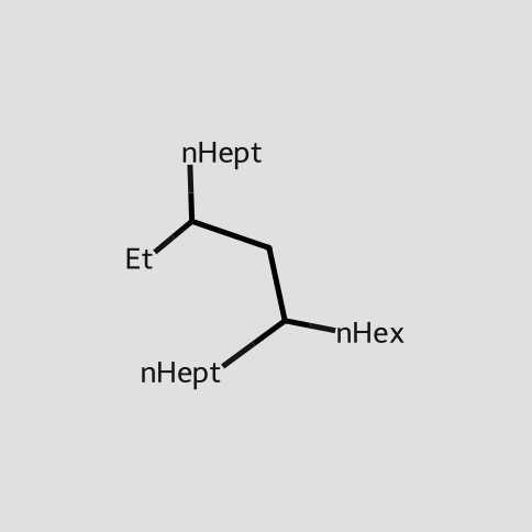 CCCCCCCC(CC)CC(CCCCCC)CCCCCCC